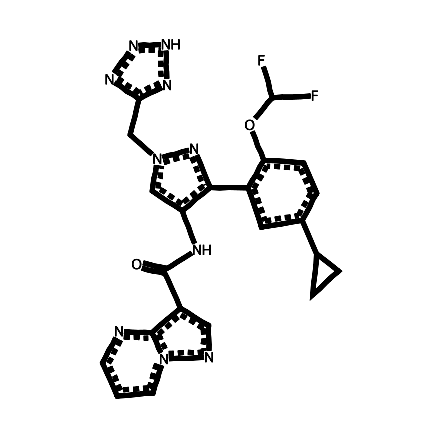 O=C(Nc1cn(Cc2nn[nH]n2)nc1-c1cc(C2CC2)ccc1OC(F)F)c1cnn2cccnc12